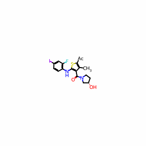 CC(=O)c1sc(Nc2ccc(I)cc2F)c(C(=O)N2CC[C@H](O)C2)c1C